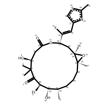 CC[C@H]1C(=O)C(C)(C)[C@@H](O)CC(=O)O[C@H](C(F)=Cc2csc(C)n2)C[C@H]2O[C@@]2(C)CCC[C@H](C)[C@@H]1O